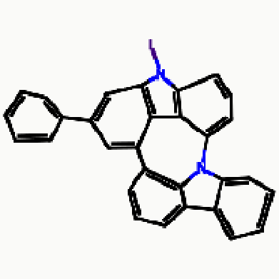 In1c2cc(-c3ccccc3)cc3c4cccc5c6ccccc6n(c6cccc1c6c32)c45